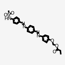 CCC(=O)OCOc1ccc(N=Nc2ccc(N=Nc3ccc(NS(C)(=O)=O)cc3)cc2)cc1